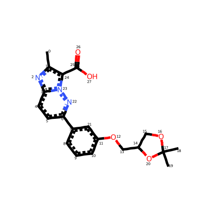 Cc1nc2ccc(-c3cccc(OCC4COC(C)(C)O4)c3)nn2c1C(=O)O